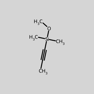 CC#C[Si](C)(C)OC